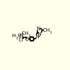 CC1CN=CC2=CN(Cc3ccc(OCC(Cl)N(C)C)cc3)CN2C1